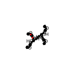 O=C(c1ccccc1)c1ccc(OCC(O)CN(CCCOCCOCCCN(CC(O)COc2ccc(C(=O)c3ccccc3)cc2)CC(O)COc2ccc(C(=O)c3ccccc3)cc2)CC(O)COc2ccc(C(=O)c3ccccc3)cc2)cc1